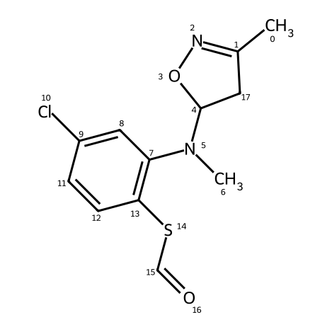 CC1=NOC(N(C)c2cc(Cl)ccc2SC=O)C1